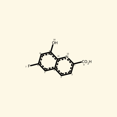 O=C(O)c1ccc2cc(F)cc(O)c2n1